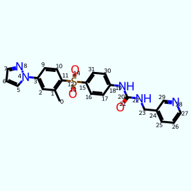 Cc1cc(-n2cccn2)ccc1S(=O)(=O)c1ccc(NC(=O)NCc2cccnc2)cc1